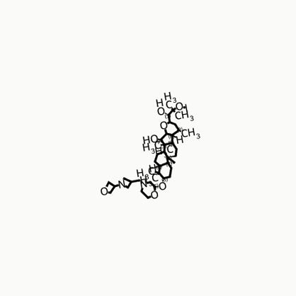 C[C@@H]1CC([C@H](O)C(C)(C)OI)OC2[C@H]1[C@@]1(C)CC[C@@]34C[C@@]35CC[C@H](O[C@H]3CN(CC6CN(C7COC7)C6)CCO3)C(C)(C)[C@@H]5CCC4[C@]1(C)[C@H]2O